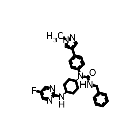 Cn1cc(-c2ccc(N(C(=O)NCc3ccccc3)[C@H]3CC[C@H](Nc4ncc(F)cn4)CC3)cc2)cn1